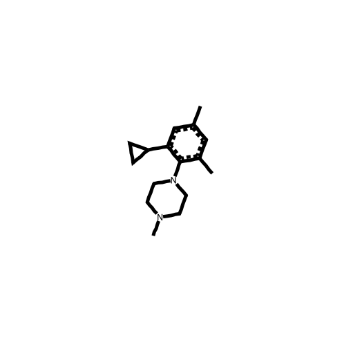 Cc1cc(C)c(N2CCN(C)CC2)c(C2CC2)c1